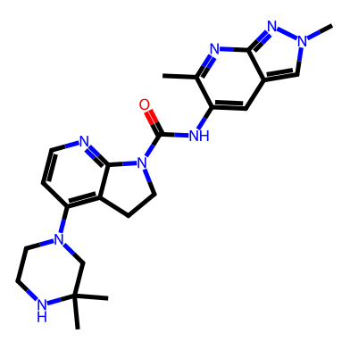 Cc1nc2nn(C)cc2cc1NC(=O)N1CCc2c(N3CCNC(C)(C)C3)ccnc21